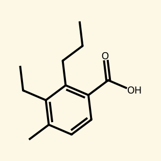 CCCc1c(C(=O)O)ccc(C)c1CC